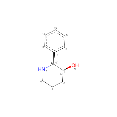 O[C@H]1CCCN[C@H]1c1ccccc1